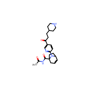 CC(=O)OC(=O)NC(=O)C12CC=CC(CC1)N2c1ccc(C(=O)CCC2CCNCC2)cn1